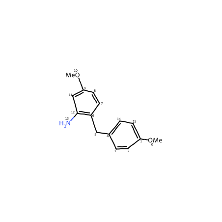 COc1ccc(Cc2ccc(OC)cc2N)cc1